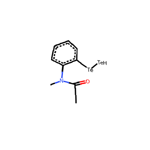 CC(=O)N(C)c1ccccc1[Te][TeH]